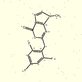 Cn1cnc2c(=O)oc(Cc3c(F)cc(F)cc3F)nc21